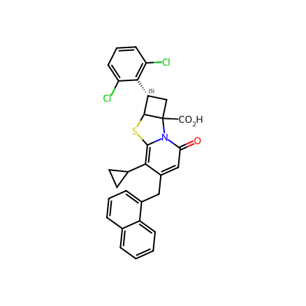 O=C(O)C12C[C@@H](c3c(Cl)cccc3Cl)C1Sc1c(C3CC3)c(Cc3cccc4ccccc34)cc(=O)n12